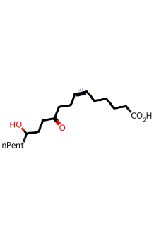 CCCCCC(O)CCC(=O)CC/C=C\CCCCC(=O)O